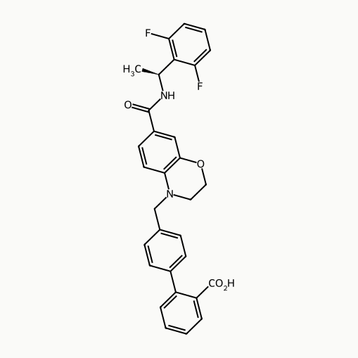 C[C@H](NC(=O)c1ccc2c(c1)OCCN2Cc1ccc(-c2ccccc2C(=O)O)cc1)c1c(F)cccc1F